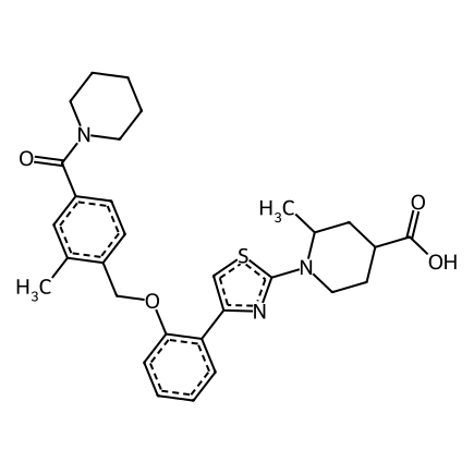 Cc1cc(C(=O)N2CCCCC2)ccc1COc1ccccc1-c1csc(N2CCC(C(=O)O)CC2C)n1